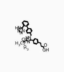 CC(C)(C)c1nc(-c2ccc(CCC(=O)O)cc2)n(Cc2ccc(-c3ccccc3-c3nnn[nH]3)cc2)n1